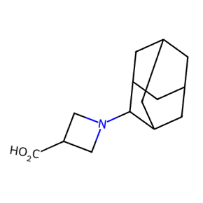 O=C(O)C1CN(C2C3CC4CC(C3)CC2C4)C1